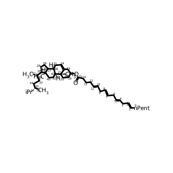 CCCCCC=CCC=CCC=CCC=CCCCC(=O)OC1CC[C@@]2(C)C(=CC[C@H]3[C@@H]4CC[C@H]([C@H](C)CC[C@H](C)C(C)C)[C@@]4(C)CC[C@@H]32)C1